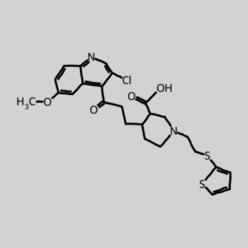 COc1ccc2ncc(Cl)c(C(=O)CCC3CCN(CCSc4cccs4)CC3C(=O)O)c2c1